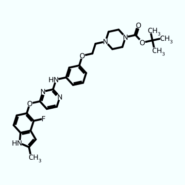 Cc1cc2c(F)c(Oc3ccnc(Nc4cccc(OCCN5CCN(C(=O)OC(C)(C)C)CC5)c4)n3)ccc2[nH]1